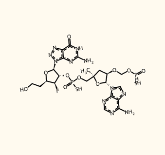 C[C@]1(COP(=O)(S)O[C@@H]2[C@@H](F)[C@@H](CCO)O[C@H]2n2nnc3c(=O)[nH]c(N)nc32)C[C@@H](OCO[PH](=O)S)[C@H](n2cnc3c(N)ncnc32)O1